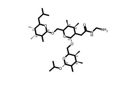 CC(C)CC1O[C@@H](OCC2O[C@@H](OCC3O[C@@H](OC(C)C)C(C)[C@H](C)[C@@H]3C)C(CC(=O)NCN)[C@H](C)[C@@H]2C)C(C)[C@H](C)[C@@H]1C